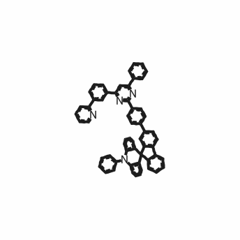 c1ccc(-c2cc(-c3cccc(-c4ccccn4)c3)nc(-c3ccc(-c4ccc5c(c4)C4(c6ccccc6-5)c5ccccc5N(c5ccccc5)c5ccccc54)cc3)n2)cc1